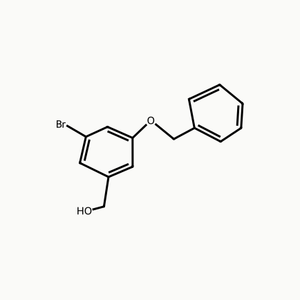 OCc1cc(Br)cc(OCc2ccccc2)c1